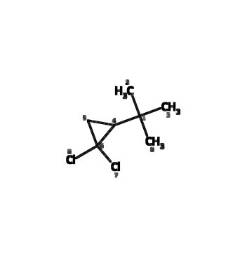 CC(C)(C)C1CC1(Cl)Cl